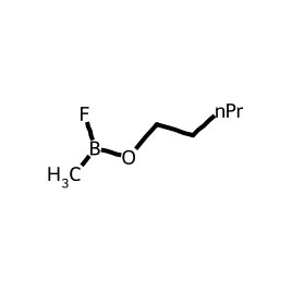 CCCCCOB(C)F